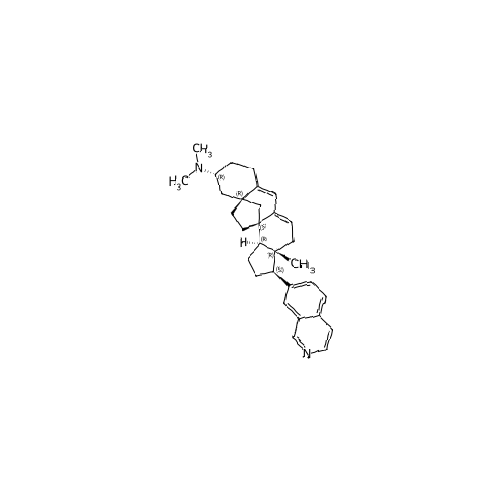 CN(C)[C@@H]1CCC2=CC3=CC[C@]4(C)[C@@H](c5ccc6ccncc6c5)CC[C@H]4[C@@]34CC[C@]2(C1)C4